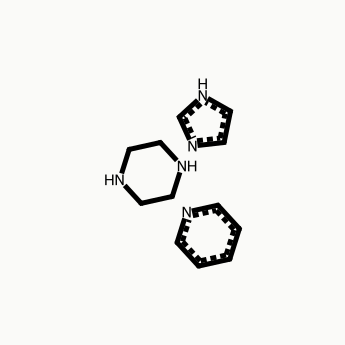 C1CNCCN1.c1c[nH]cn1.c1ccncc1